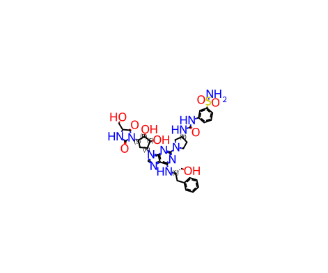 NS(=O)(=O)c1cccc(NC(=O)N[C@@H]2CCN(c3nc(N[C@H](CO)Cc4ccccc4)c4ncn([C@@H]5C[C@H](N6C(=O)NC(CO)C6=O)[C@@H](O)[C@H]5O)c4n3)C2)c1